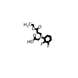 CCOC(=O)CCN(CC(=O)O)c1cccc(F)c1F